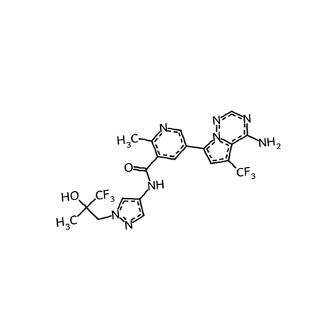 Cc1ncc(-c2cc(C(F)(F)F)c3c(N)ncnn23)cc1C(=O)Nc1cnn(CC(C)(O)C(F)(F)F)c1